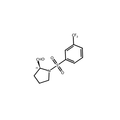 O=[C][C@@H]1CCCN1S(=O)(=O)c1cccc(C(F)(F)F)c1